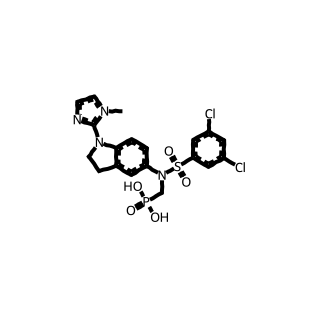 Cn1ccnc1N1CCc2cc(N(CP(=O)(O)O)S(=O)(=O)c3cc(Cl)cc(Cl)c3)ccc21